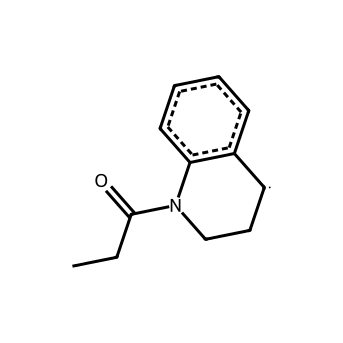 CCC(=O)N1CC[CH]c2ccccc21